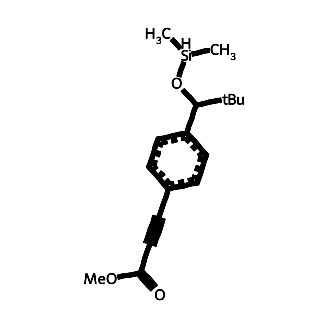 COC(=O)C#Cc1ccc(C(O[SiH](C)C)C(C)(C)C)cc1